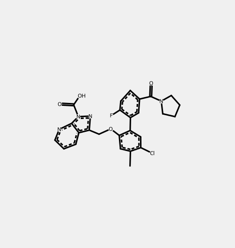 Cc1cc(OCc2nn(C(=O)O)c3ncccc23)c(-c2cc(C(=O)N3CCCC3)ccc2F)cc1Cl